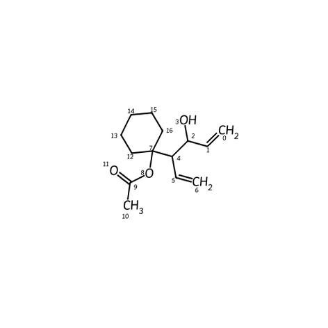 C=CC(O)C(C=C)C1(OC(C)=O)CCCCC1